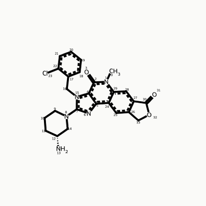 Cn1c(=O)c2c(nc(N3CCC[C@@H](N)C3)n2Cc2ccccc2Cl)c2cc3c(cc21)C(=O)OC3